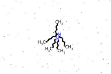 CCCCCC1=NC(CCCCC)=C(CCCCC)[N+]1(CCCCC)CCCCC